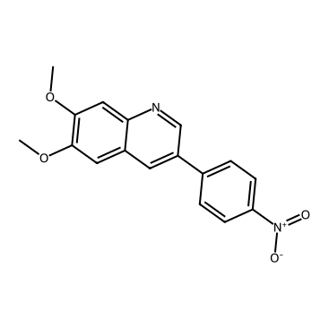 COc1cc2cc(-c3ccc([N+](=O)[O-])cc3)cnc2cc1OC